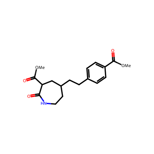 COC(=O)c1ccc(CCC2CCNC(=O)C(C(=O)OC)C2)cc1